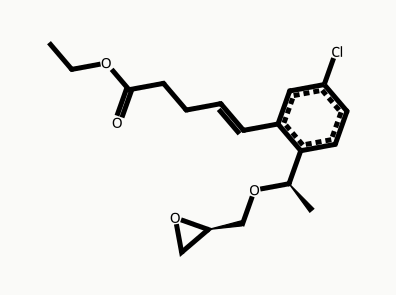 CCOC(=O)CC/C=C/c1cc(Cl)ccc1[C@@H](C)OC[C@H]1CO1